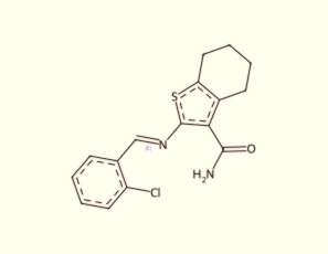 NC(=O)c1c(/N=C/c2ccccc2Cl)sc2c1CCCC2